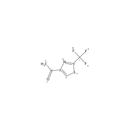 CC(=O)c1csc(C(F)(F)F)n1